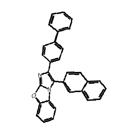 c1ccc(-c2ccc(-c3nc4oc5ccccc5n4c3-c3ccc4ccccc4c3)cc2)cc1